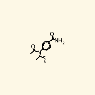 CSC(C)N(C(C)=O)c1ccc(C(N)=O)cc1